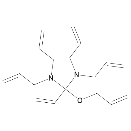 C=CCOC(C=C)(N(CC=C)CC=C)N(CC=C)CC=C